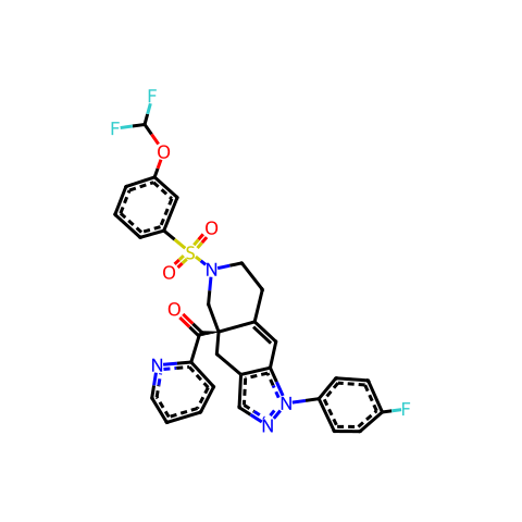 O=C(c1ccccn1)[C@]12Cc3cnn(-c4ccc(F)cc4)c3C=C1CCN(S(=O)(=O)c1cccc(OC(F)F)c1)C2